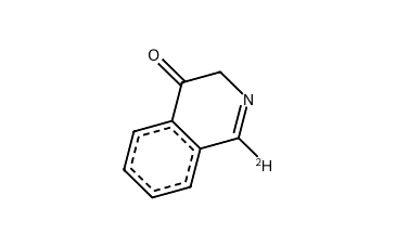 [2H]C1=NCC(=O)c2ccccc21